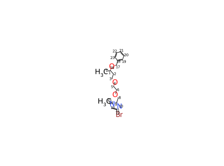 CC(CCOCCOCc1nc(Br)cn1C)OCc1ccccc1